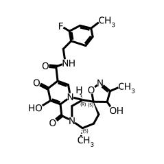 CC1=NO[C@]2(CC[C@H](C)N3C[C@H]2n2cc(C(=O)NCc4ccc(C)cc4F)c(=O)c(O)c2C3=O)C1O